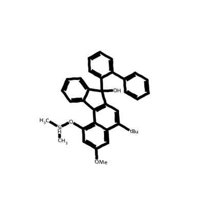 COc1cc(O[SiH](C)C)c2c3c(cc(C(C)(C)C)c2c1)C(O)(c1ccccc1-c1ccccc1)c1ccccc1-3